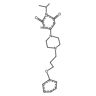 CC(C)n1c(=O)cc(N2CCN(CCCOc3ccccc3)CC2)[nH]c1=O